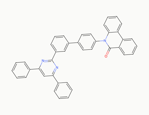 O=c1c2ccccc2c2ccccc2n1-c1ccc(-c2cccc(-c3nc(-c4ccccc4)cc(-c4ccccc4)n3)c2)cc1